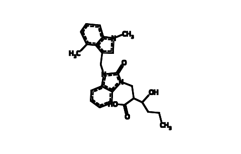 CCCC(O)C(Cn1c(=O)n(Cc2cn(C)c3cccc(C)c23)c2ccccc21)C(=O)O